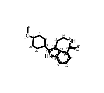 COC1CCC(c2[nH]c3cccc4c3c2CCNC4=O)CC1